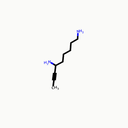 CC#CC(N)CCCCCN